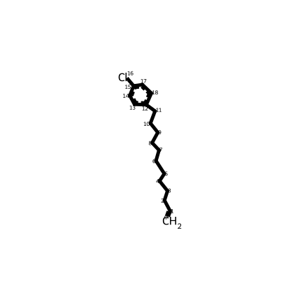 C=CCCCCCCCCCCc1ccc(Cl)cc1